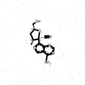 C[C@H]1C[C@@H](CO)O[C@@]1(C#N)c1scc2c(N)ncnc12